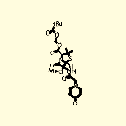 COC1(NC(=O)Cn2ccc(=O)cc2)C(=O)N2[C@@H](C(=O)OCOC(=O)C(C)(C)C)C(C)(C)S[C@@H]21